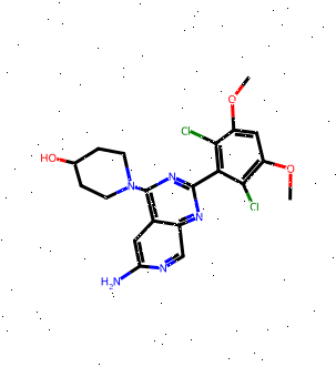 COc1cc(OC)c(Cl)c(-c2nc(N3CCC(O)CC3)c3cc(N)ncc3n2)c1Cl